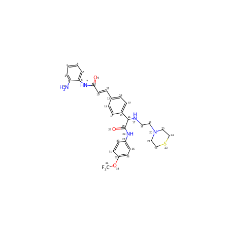 Nc1ccccc1NC(=O)/C=C/c1ccc(C(NCCN2CCSCC2)C(=O)Nc2ccc(OC(F)(F)F)cc2)cc1